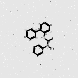 CCN(c1ccccc1)C(C)Oc1ccccc1-c1ccccc1